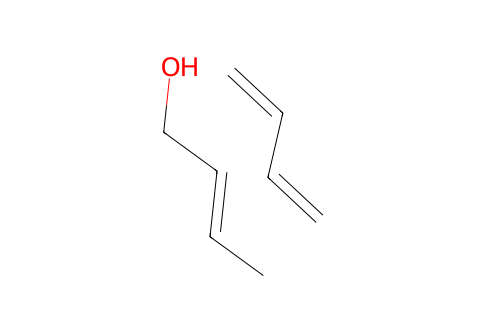 C=CC=C.CC=CCO